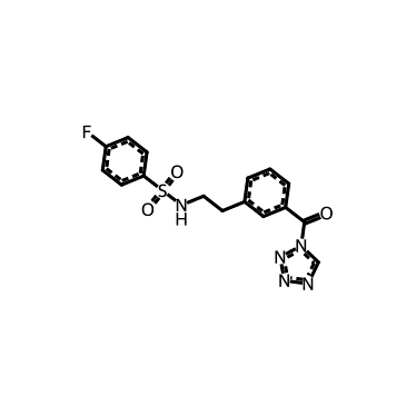 O=C(c1cccc(CCNS(=O)(=O)c2ccc(F)cc2)c1)n1cnnn1